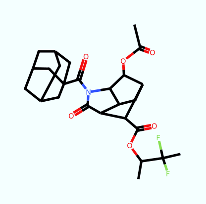 CC(=O)OC1C2CC3C(C(=O)N(C(=O)C45CC6CC(CC(C6)C4)C5)C31)C2C(=O)OC(C)C(C)(F)F